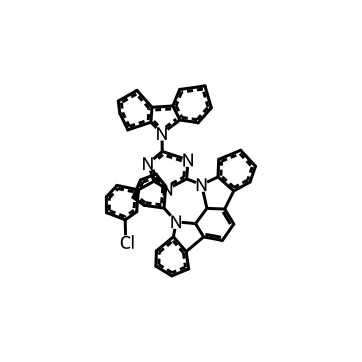 Clc1cccc(-c2nc(N3c4ccccc4C4=CC=C5c6ccccc6N(c6ccccc6)C5C43)nc(-n3c4ccccc4c4ccccc43)n2)c1